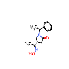 CC(=NO)[C@H]1CC(=O)N([C@@H](C)c2ccccc2)C1